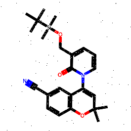 CC1(C)C=C(n2cccc(CO[Si](C)(C)C(C)(C)C)c2=O)c2cc(C#N)ccc2O1